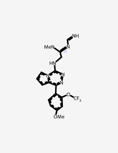 CN/C(CNc1nnc(-c2ccc(OC)cc2OC(F)(F)F)c2cccn12)=N\C=N